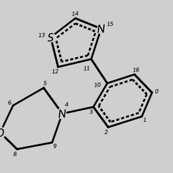 c1ccc(N2CCOCC2)c(-c2cscn2)c1